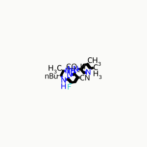 CCCC[C@@H](Nc1nc(Nc2cnc(C)c(C)c2)c(C#N)cc1F)[C@H](C)NC(=O)O